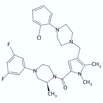 Cc1c(CN2CCN(c3ccccc3Cl)CC2)cc(C(=O)N2CCN(c3cc(F)cc(F)c3)C[C@@H]2C)n1C